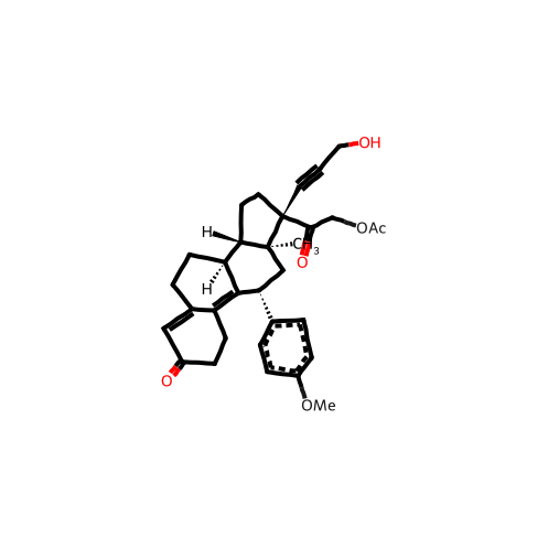 COc1ccc([C@H]2C[C@@]3(C)[C@@H](CC[C@]3(C#CCO)C(=O)COC(C)=O)[C@@H]3CCC4=CC(=O)CCC4=C32)cc1